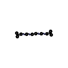 C(=C\c1ccc(-c2ccc(/C=C/c3ccc(/C=C/c4ccc(-n5c6ccccc6c6ccccc65)cc4)cc3)cc2)cc1)/c1ccc(/C=C/c2ccc(-n3c4ccccc4c4ccccc43)cc2)cc1